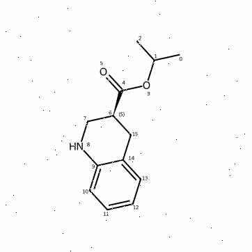 CC(C)OC(=O)[C@@H]1CNc2ccccc2C1